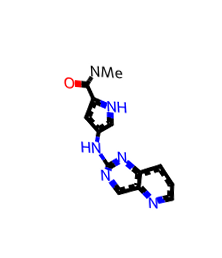 CNC(=O)c1cc(Nc2ncc3ncccc3n2)c[nH]1